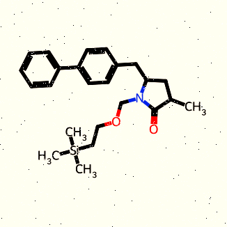 CC1CC(Cc2ccc(-c3ccccc3)cc2)N(COCC[Si](C)(C)C)C1=O